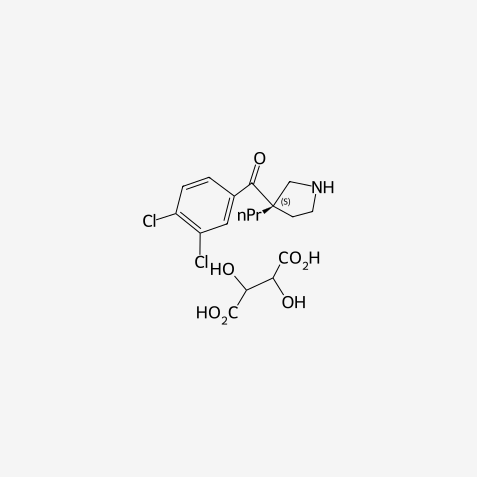 CCC[C@]1(C(=O)c2ccc(Cl)c(Cl)c2)CCNC1.O=C(O)C(O)C(O)C(=O)O